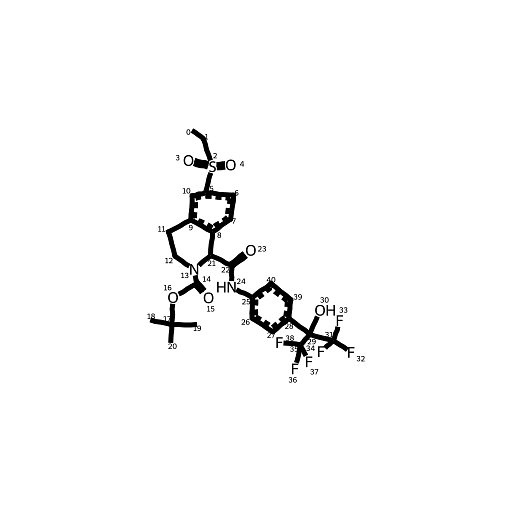 CCS(=O)(=O)c1ccc2c(c1)CCN(C(=O)OC(C)(C)C)C2C(=O)Nc1ccc(C(O)(C(F)(F)F)C(F)(F)F)cc1